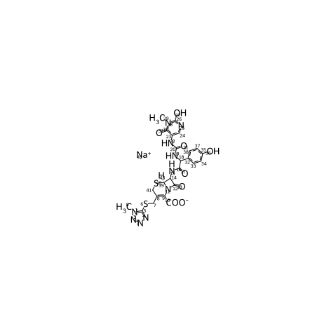 Cn1nnnc1SCC1=C(C(=O)[O-])N2C(=O)C(NC(=O)C(NC(=O)Nc3cnc(O)n(C)c3=O)c3ccc(O)cc3)[C@@H]2SC1.[Na+]